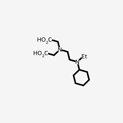 CCN(CCN(CC(=O)O)CC(=O)O)C1CCCCC1